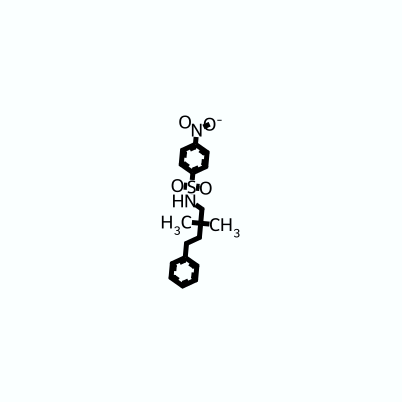 CC(C)(CCc1ccccc1)CNS(=O)(=O)c1ccc([N+](=O)[O-])cc1